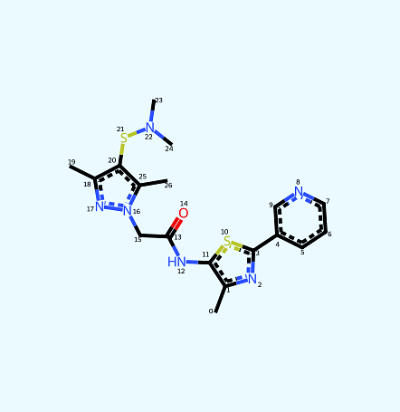 Cc1nc(-c2cccnc2)sc1NC(=O)Cn1nc(C)c(SN(C)C)c1C